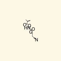 C=C(C)C(=O)ONC(=O)OCCC#N